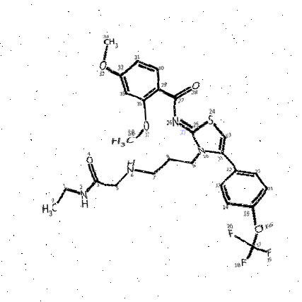 CCNC(=O)CNCCCn1c(-c2ccc(OC(F)(F)F)cc2)cs/c1=N\C(=O)c1ccc(OC)cc1OC